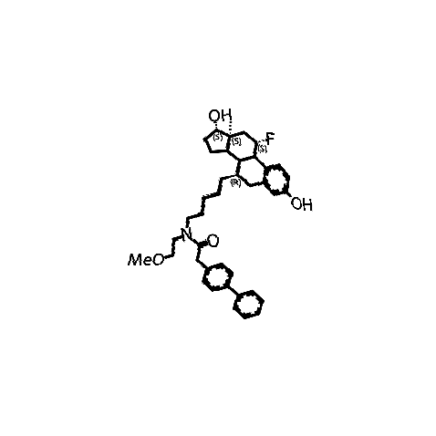 COCCN(CCCCC[C@@H]1Cc2cc(O)ccc2C2C1C1CC[C@H](O)[C@@]1(C)C[C@@H]2F)C(=O)Cc1ccc(-c2ccccc2)cc1